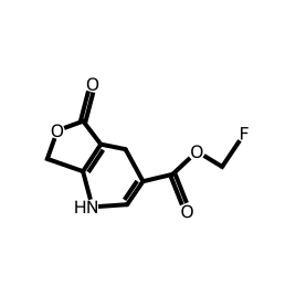 O=C(OCF)C1=CNC2=C(C1)C(=O)OC2